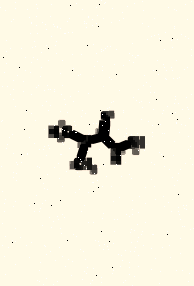 CN(C)C(=S)NS